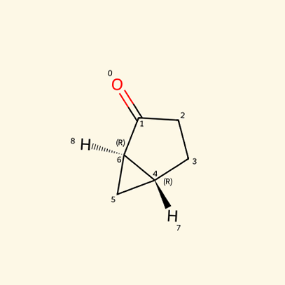 O=C1CC[C@@H]2C[C@@H]12